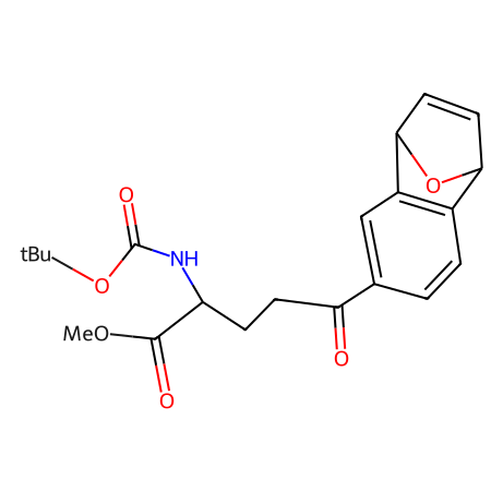 COC(=O)C(CCC(=O)c1ccc2c(c1)C1C=CC2O1)NC(=O)OC(C)(C)C